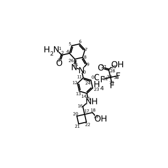 C.NC(=O)c1cccc2cn(-c3ccc(NCC4(CO)CCC4)cc3)nc12.O=C(O)C(F)(F)F